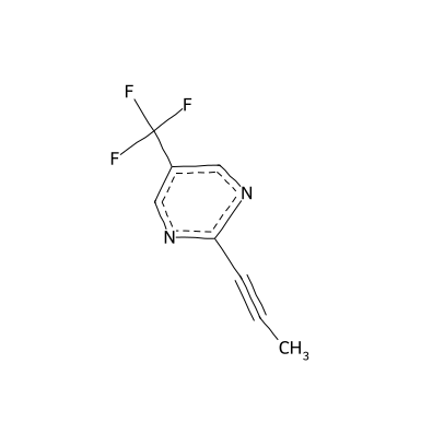 CC#Cc1ncc(C(F)(F)F)cn1